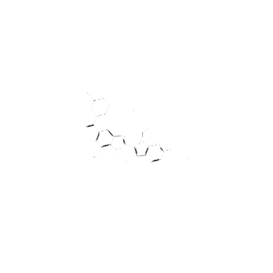 CCn1c(-c2nc3cc(C(=O)N4CCCC(N)C4)cc(OC)c3n2C)cc2ccc(OC)nc21.Cl